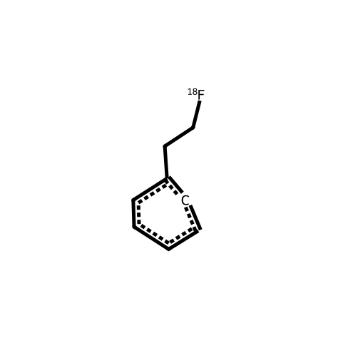 [18F]CCc1ccccc1